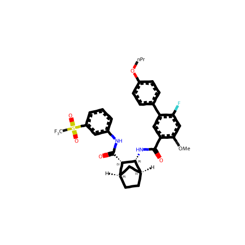 CCCOc1ccc(-c2cc(C(=O)N[C@@H]3[C@H]4CC[C@H](C4)[C@@H]3C(=O)Nc3cccc(S(=O)(=O)C(F)(F)F)c3)c(OC)cc2F)cc1